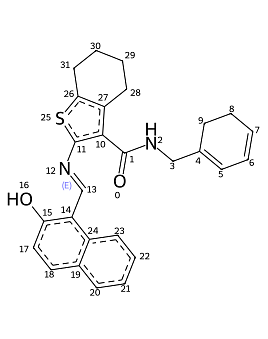 O=C(NCC1=CC=CCC1)c1c(/N=C/c2c(O)ccc3ccccc23)sc2c1CCCC2